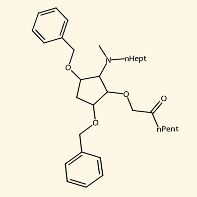 CCCCCCCN(C)C1C(OCc2ccccc2)CC(OCc2ccccc2)C1OCC(=O)CCCCC